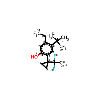 CC(C)(c1cc(C2(C(F)(F)C(F)(F)F)CC2)c(O)cc1CC(F)(F)F)C(F)(F)F